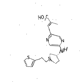 CC(=Cc1cnc(N[C@@H]2CCN(CCc3cccs3)C2)cn1)C(=O)O